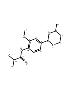 COc1cc(C2OCCC(C)O2)ccc1OC(=O)C(C)C